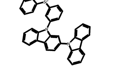 c1ccc([SiH2]c2cccc(-n3c4ccccc4c4ccc(-n5c6ccccc6c6ccccc65)cc43)c2)cc1